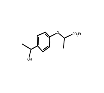 CCOC(=O)C(C)Oc1ccc(C(C)O)cc1